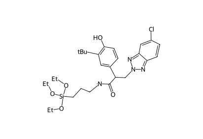 CCO[Si](CCC[N]C(=O)C(Cn1nc2ccc(Cl)cc2n1)c1ccc(O)c(C(C)(C)C)c1)(OCC)OCC